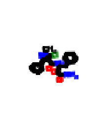 Cn1nc(-c2ccccc2)c(C(=O)N[C@@H](Cc2ccccc2)C(=O)C(N)=O)c1Cl